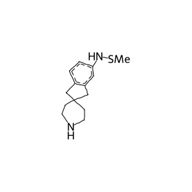 CSNc1ccc2c(c1)CC1(CCNCC1)C2